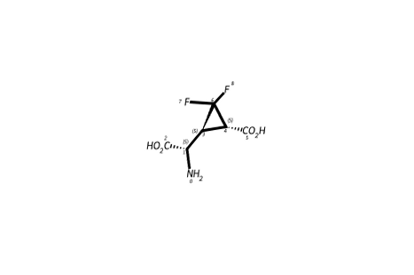 N[C@H](C(=O)O)[C@@H]1[C@@H](C(=O)O)C1(F)F